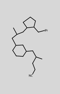 CC(C)CC1CCCC1CC(C)CC1CCCC(CC(C)CCC#N)C1